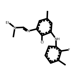 CCN(C)C=Nc1cc(C)cc(Nc2cccc(C)c2F)c1Cl